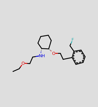 CCOCCN[C@@H]1CCCC[C@@H]1OCCc1ccccc1CF